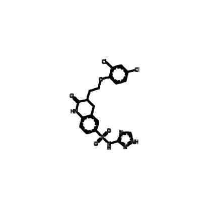 O=C1Nc2ccc(S(=O)(=O)Nc3nc[nH]n3)cc2CC1CCOc1ccc(Cl)cc1Cl